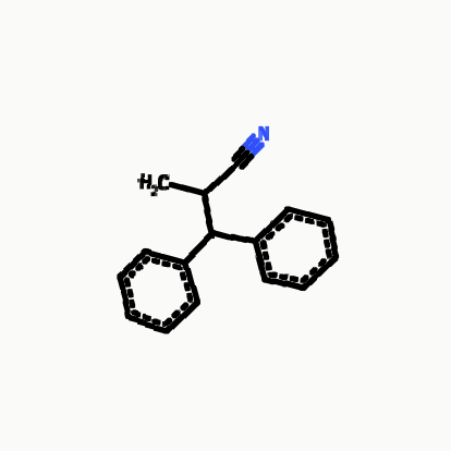 [CH2]C(C#N)[C](c1ccccc1)c1ccccc1